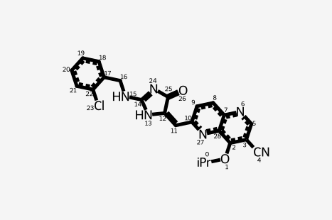 CC(C)Oc1c(C#N)cnc2ccc(/C=C3/NC(NCc4ccccc4Cl)=NC3=O)nc12